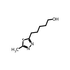 Cc1nnc(CCCCCO)s1